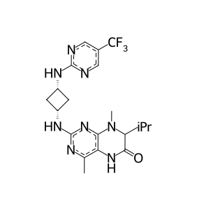 Cc1nc(N[C@H]2C[C@@H](Nc3ncc(C(F)(F)F)cn3)C2)nc2c1NC(=O)C(C(C)C)N2C